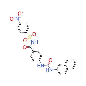 O=C(Nc1ccc(C(=O)NS(=O)(=O)c2ccc([N+](=O)[O-])cc2)cc1)Nc1ccc2ccccc2c1